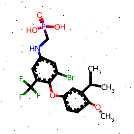 COc1ccc(Oc2c(Br)cc(NCP(=O)(O)O)cc2C(F)(F)F)cc1C(C)C